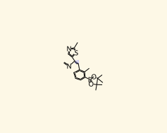 C=N/C(=C\c1cccc(B2OC(C)(C)C(C)(C)O2)c1C)c1cnc(C)s1